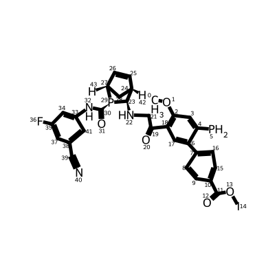 COc1cc(P)c(-c2ccc(C(=O)OI)cc2)cc1C(=O)CN[C@@H]1[C@H]2C=C[C@H](C2)[P@]1C(=O)Nc1cc(F)cc(C#N)c1